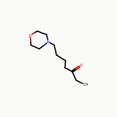 N#CCC(=O)CCCCN1CCOCC1